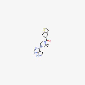 O=C(c1ccc2sccc2c1)N1CCN(c2ncnc3[nH]ccc23)CC12CC2